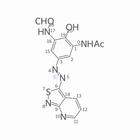 CC(=O)Nc1cc(/N=N/c2snc3ncccc23)cc(NC=O)c1O